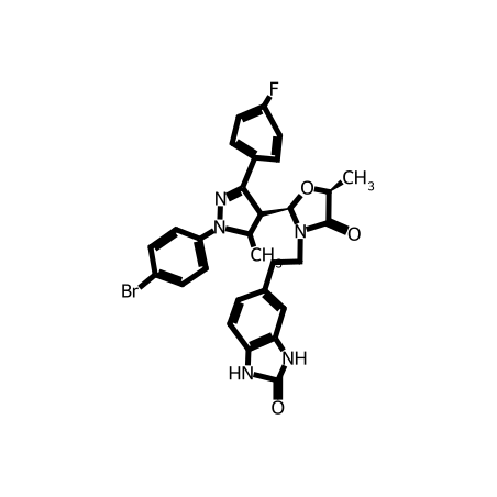 CC1C([C@H]2O[C@@H](C)C(=O)N2CCc2ccc3[nH]c(=O)[nH]c3c2)C(c2ccc(F)cc2)=NN1c1ccc(Br)cc1